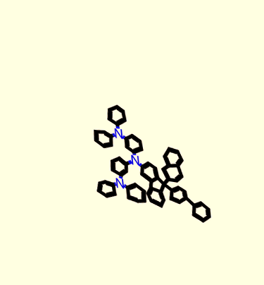 c1ccc(-c2ccc(C3(c4ccc5ccccc5c4)c4ccccc4-c4cc(N(c5cccc(N(c6ccccc6)c6ccccc6)c5)c5cccc(N(c6ccccc6)c6ccccc6)c5)ccc43)cc2)cc1